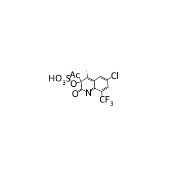 CC(=O)C1(OS(=O)(=O)O)C(=O)N=c2c(C(F)(F)F)cc(Cl)cc2=C1C